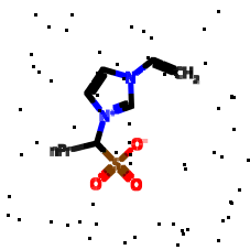 C=Cn1cc[n+](C(CCC)S(=O)(=O)[O-])c1